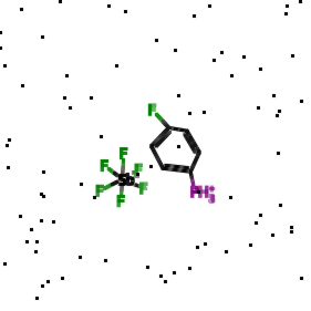 Fc1ccc([PH3+])cc1.[F][Sb-]([F])([F])([F])([F])[F]